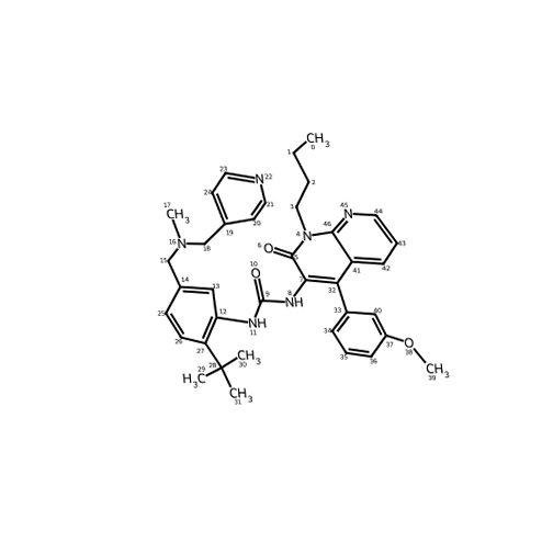 CCCCn1c(=O)c(NC(=O)Nc2cc(CN(C)Cc3ccncc3)ccc2C(C)(C)C)c(-c2cccc(OC)c2)c2cccnc21